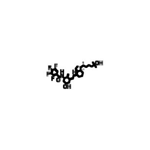 C=C1/C(=C\C=C2/CCC[C@]3(C)[C@@H]([C@H](C)CCCC(C)(C)O)CC[C@@H]23)C[C@@H](O)C[C@@H]1NC(=O)c1cc(F)c(F)c(F)c1F